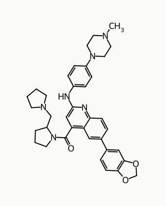 CN1CCN(c2ccc(Nc3cc(C(=O)N4CCCC4CN4CCCC4)c4cc(-c5ccc6c(c5)OCO6)ccc4n3)cc2)CC1